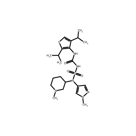 CC(C)c1csc(C(C)C)c1NC(=O)NS(=O)(=O)N(c1cnn(C)c1)C1CCCN(C)C1